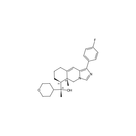 C[C@]12Cn3cnc(-c4ccc(F)cc4)c3C=C1CCC[C@@H]2[C@](C)(O)C1CCOCC1